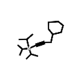 CC(C)[Si](C#CCC1CCCCC1)(C(C)C)C(C)C